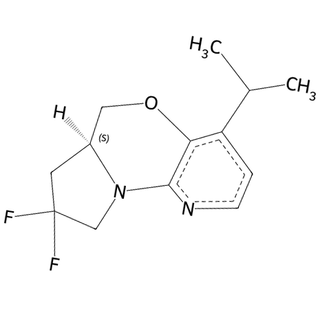 CC(C)c1ccnc2c1OC[C@@H]1CC(F)(F)CN21